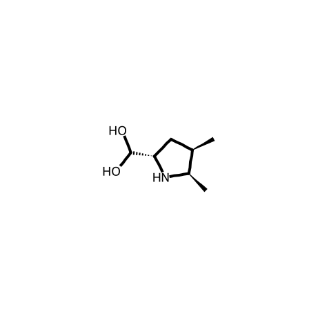 C[C@@H]1C[C@@H](C(O)O)N[C@@H]1C